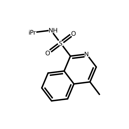 Cc1cnc(S(=O)(=O)NC(C)C)c2ccccc12